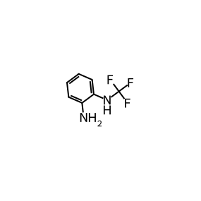 Nc1ccccc1NC(F)(F)F